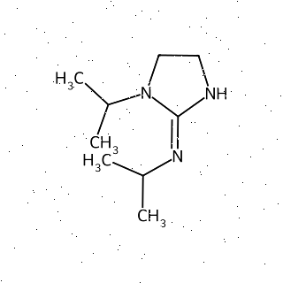 CC(C)/N=C1/NCCN1C(C)C